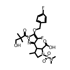 CC1CN(S(=O)(=O)N(C)C)C(C(=O)O)C1c1nn(C(=O)C(C)(C)CO)c(OCc2ccc(F)cc2)c1F